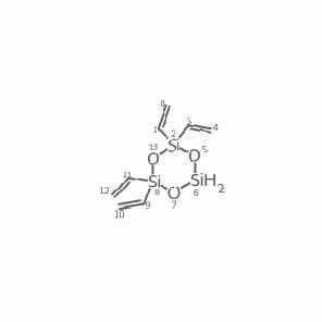 C=C[Si]1(C=C)O[SiH2]O[Si](C=C)(C=C)O1